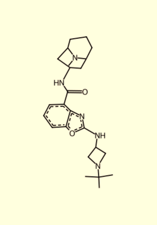 CN1C2CCCC1CC(NC(=O)c1cccc3oc(NC4CN(C(C)(C)C)C4)nc13)C2